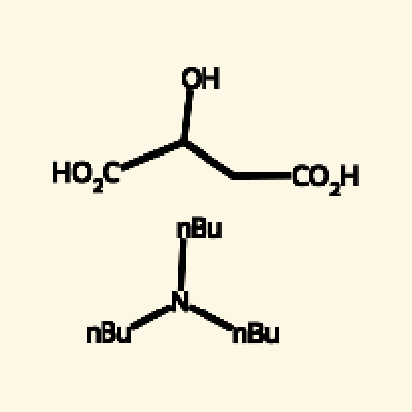 CCCCN(CCCC)CCCC.O=C(O)CC(O)C(=O)O